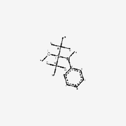 CO[Si](N(C)c1ccccc1)(C(C)(C)C)C(C)(C)C